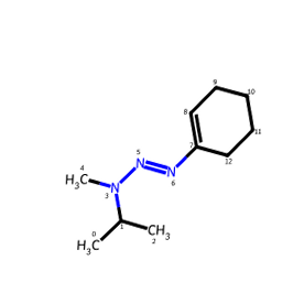 CC(C)N(C)N=NC1=CCCCC1